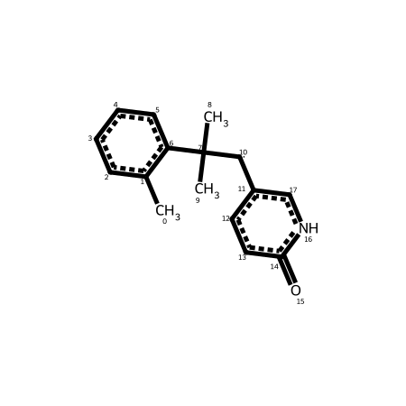 Cc1ccccc1C(C)(C)[CH]c1ccc(=O)[nH]c1